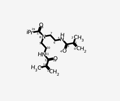 C=C(C)C(=O)NCCN(CCNC(=O)C(=C)C)C(=O)C(C)C